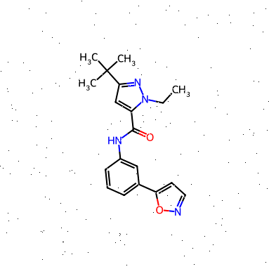 CCn1nc(C(C)(C)C)cc1C(=O)Nc1cccc(-c2ccno2)c1